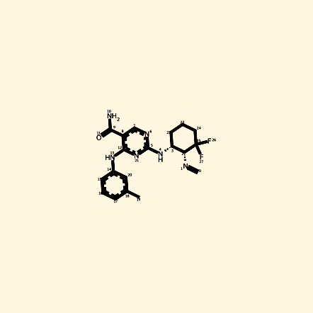 C=N[C@@H]1[C@H](Nc2ncc(C(N)=O)c(Nc3cccc(C)c3)n2)CCCC1(F)F